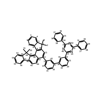 CC1(C)c2ccccc2-c2c1cc(-c1cccc(-c3cccc(-c4nc(-c5ccccc5)nc(-c5ccccc5)n4)c3)c1)c1ccc3c(c21)C(C)(C)c1ccccc1-3